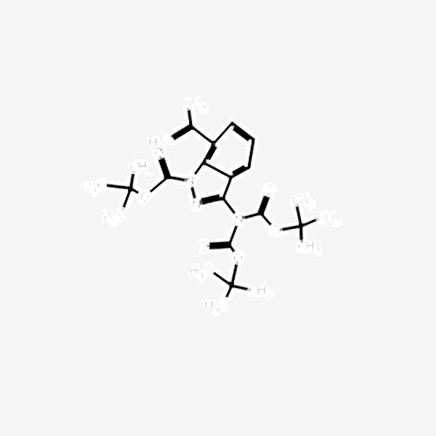 C=C(C)c1cccc2c(N(C(=O)OC(C)(C)C)C(=O)OC(C)(C)C)nn(C(=O)OC(C)(C)C)c12